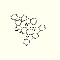 N#Cc1c(-n2c3ccccc3c3ccc(-c4ccccc4)cc32)ccc(-c2ccccc2C(F)(F)F)c1-n1c2ccccc2c2ccc(-c3ccccc3)cc21